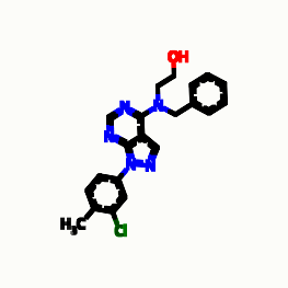 Cc1ccc(-n2ncc3c(N(CCO)Cc4ccccc4)ncnc32)cc1Cl